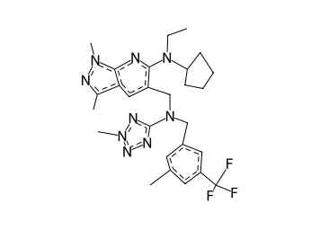 CCN(c1nc2c(cc1CN(Cc1cc(C)cc(C(F)(F)F)c1)c1nnn(C)n1)c(C)nn2C)C1CCCC1